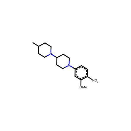 COc1cc(N2CCC(N3CCC(C)CC3)CC2)ccc1[N+](=O)[O-]